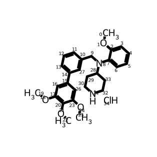 COc1ccccc1N(Cc1cccc(-c2cc(OC)c(OC)c(OC)c2)c1)C1CCNCC1.Cl